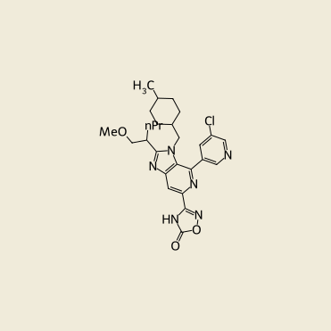 CCCC(COC)c1nc2cc(-c3noc(=O)[nH]3)nc(-c3cncc(Cl)c3)c2n1CC1CCC(C)CC1